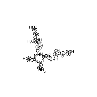 COc1ccc(S(=O)(=O)CCOS(=O)(=O)O)cc1NC(=O)NCNS(=O)(=O)c1ccc2c(c1)C1=NC/2=N\c2[nH]c(c3ccc(S(=O)(=O)O)cc23)/N=C2\NC(/N=c3\[nH]/c(c4ccc(S(=O)(=O)NCNC(=O)Nc5cc(S(=O)(=O)CCOS(=O)(=O)O)ccc5OC)cc34)=N\1)c1ccc(S(N)(=O)=O)cc12